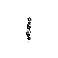 O=C(NCc1ccc(C(=O)NCCN2CCOCC2)cc1)Nc1ccc(-c2cn[nH]c2)cc1